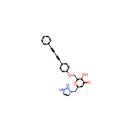 O=c1cc(CN2C=CNN2)oc(COc2ccc(C#CC#Cc3ccccc3)cc2)c1O